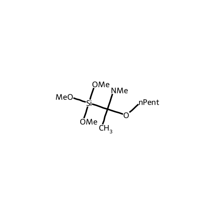 CCCCCOC(C)(NC)[Si](OC)(OC)OC